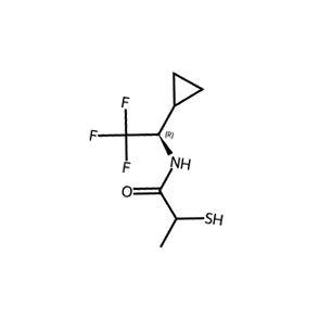 CC(S)C(=O)N[C@H](C1CC1)C(F)(F)F